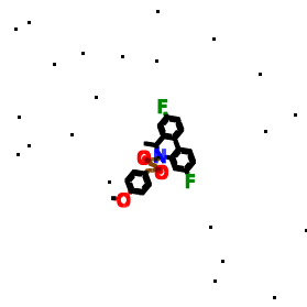 COc1ccc(S(=O)(=O)N2c3cc(F)ccc3-c3ccc(F)cc3C2C)cc1